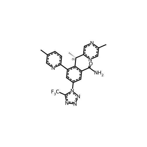 Cc1ccc(-c2cc(-n3nnnc3C(F)(F)F)cc(C(N)=O)c2[C@H](C)c2cnc(C)cn2)nc1